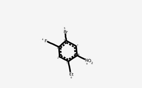 CCc1cc(F)c(Br)cc1[N+](=O)[O-]